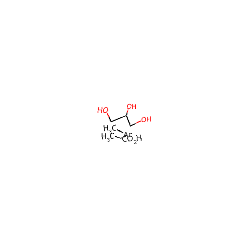 CC(=O)O.CC(C)=O.OCC(O)CO